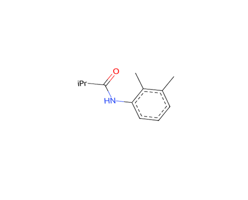 Cc1cccc(NC(=O)C(C)C)c1C